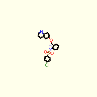 O=S(=O)(Nc1ccccc1COc1ccc2ncccc2c1)c1ccc(Cl)cc1